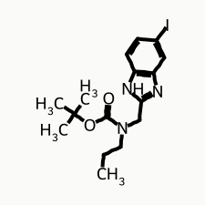 CCCN(Cc1nc2cc(I)ccc2[nH]1)C(=O)OC(C)(C)C